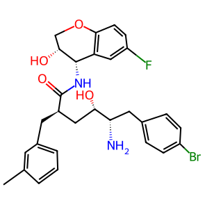 Cc1cccc(C[C@H](C[C@H](O)[C@@H](N)Cc2ccc(Br)cc2)C(=O)N[C@H]2c3cc(F)ccc3OC[C@H]2O)c1